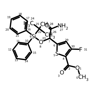 COC(=O)c1sc(C(O[Si](c2ccccc2)(c2ccccc2)C(C)(C)C)C(N)=O)cc1F